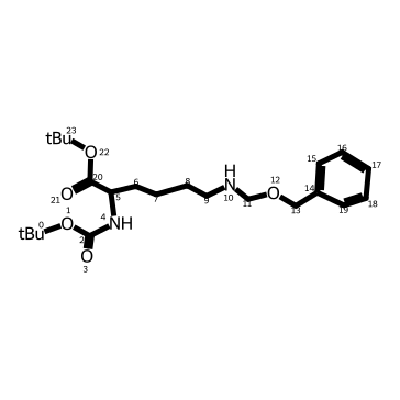 CC(C)(C)OC(=O)NC(CCCCNCOCc1ccccc1)C(=O)OC(C)(C)C